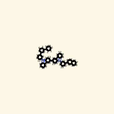 c1ccc(-c2cccc(-c3cccc(-n4c5ccccc5c5cc(-c6ccc7c(c6)c6ccccc6n7-c6cccc(-c7ccc8ccccc8c7)c6)ccc54)c3)c2)cc1